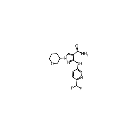 NC(=O)c1cn(C2CCCOC2)nc1Nc1ccc(C(F)F)nc1